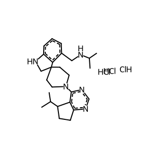 CC(C)NCc1cccc2c1C1(CCN(c3ncnc4c3C(C(C)C)CC4)CC1)CN2.Cl.Cl.Cl